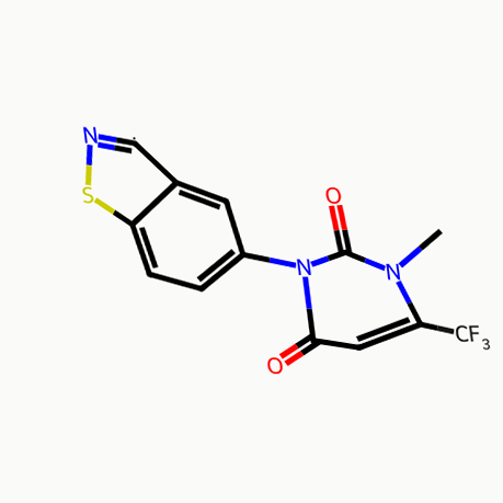 Cn1c(C(F)(F)F)cc(=O)n(-c2ccc3sn[c]c3c2)c1=O